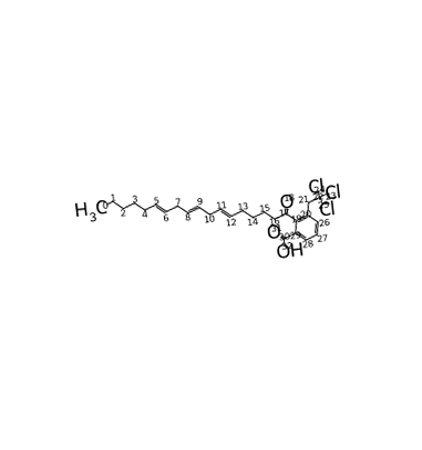 CCCCCC=CCC=CCC=CCCCCC(=O)c1c(CC(Cl)(Cl)Cl)cccc1C(=O)O